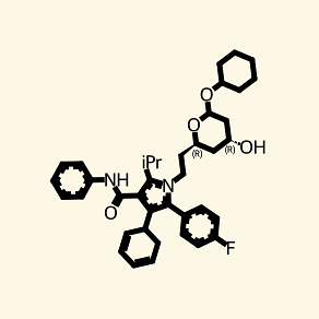 CC(C)c1c(C(=O)Nc2ccccc2)c(C2C=CC=CC2)c(-c2ccc(F)cc2)n1CC[C@@H]1C[C@@H](O)CC(OC2CCCCC2)O1